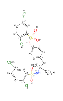 CCC(Cc1ccc(OS(=O)(=O)c2cc(Cl)ccc2Cl)cc1)(NS(=O)(=O)c1cc(Cl)ccc1Cl)C(=O)O